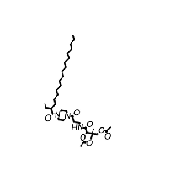 CCCCCCCCCCCCCCCCC(CC)C(=O)N1CCN(C(=O)CCNC(=O)C(OC(C)=O)C(C)(C)COC(C)=O)CC1